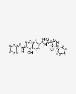 O[C@H]1c2ccc(-c3noc(-c4onc(-c5ccccc5)c4C(F)(F)F)n3)cc2OC[C@@H]1NCC1CCCCC1